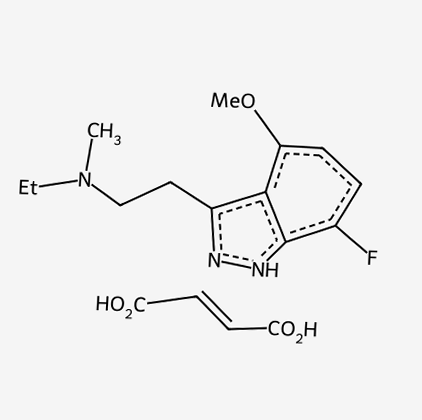 CCN(C)CCc1n[nH]c2c(F)ccc(OC)c12.O=C(O)/C=C/C(=O)O